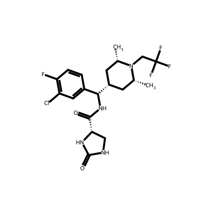 C[C@@H]1C[C@H](C(NC(=O)[C@@H]2CNC(=O)N2)c2ccc(F)c(Cl)c2)C[C@H](C)N1CC(F)(F)F